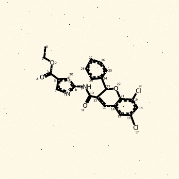 CCOC(=O)c1cnc(NC(=O)C2=Cc3cc(Cl)cc(Cl)c3OC2c2ccccc2)s1